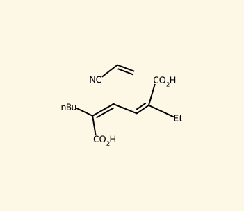 C=CC#N.CCCCC(=CC=C(CC)C(=O)O)C(=O)O